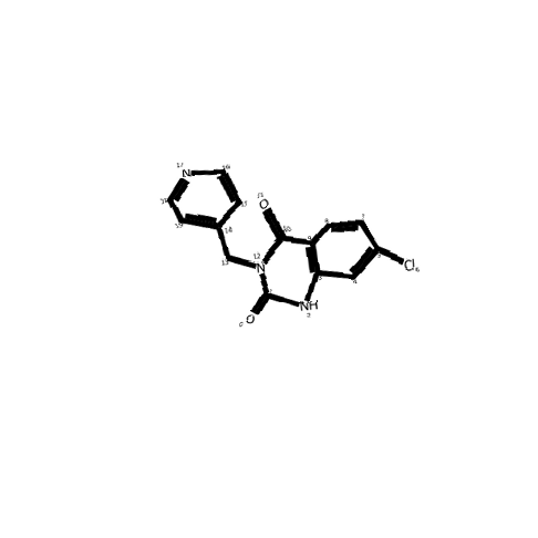 O=c1[nH]c2cc(Cl)ccc2c(=O)n1Cc1ccncc1